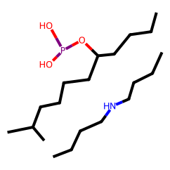 CCCCC(CCCCC(C)C)OP(O)O.CCCCNCCCC